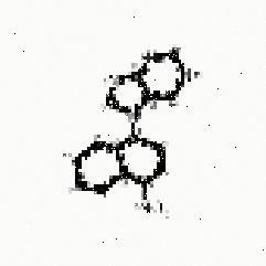 O=[N+]([O-])c1ccc(-n2cnc3ncncc32)c2ccccc12